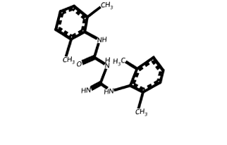 Cc1cccc(C)c1NC(=N)NC(=O)Nc1c(C)cccc1C